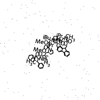 CC[C@H](C)[C@@H]([C@@H](CC(=O)N1CCC[C@H]1[C@H](OC)[C@@H](C)C(=O)N[C@H](C(=O)N1CCCCO1)[C@@H](C)c1ccccc1)OC)N(C)[C@H](C(=O)NC(=O)[C@H](C(C)C)N(C)C(=O)OCC1c2ccccc2-c2ccccc21)C(C)C